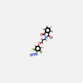 [N-]=[N+]=Nc1c(F)cc(OCCCN2C(=O)c3ccccc3C2=O)cc1F